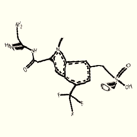 Cn1c(C(=O)NC(=N)N)cc2c(C(F)(F)F)cc(CS(=O)(=O)O)cc21